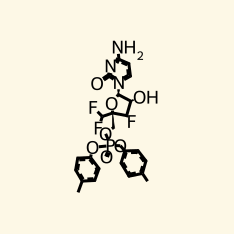 Cc1ccc(OP(=O)(OC[C@@]2(C(F)F)O[C@@H](n3ccc(N)nc3=O)[C@H](O)[C@@H]2F)Oc2ccc(C)cc2)cc1